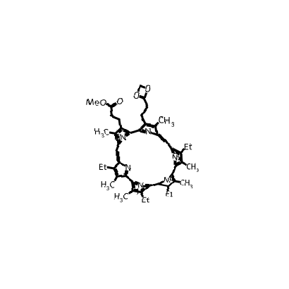 CCC1=C(C)C2=N/C1=C\c1[nH]c(c(CCC(=O)OC)c1C)C1=N/C(=C\c3[nH]c(c(C)c3CC)C3=C(C)C(CC)C(N3)c3[nH]c2c(C)c3CC)C(C)=C1CCC1OCO1